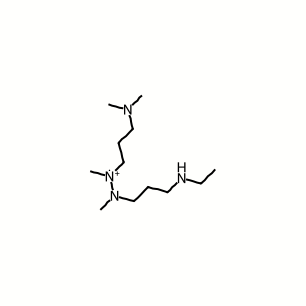 CCNCCCN(C)[N+](C)CCCN(C)C